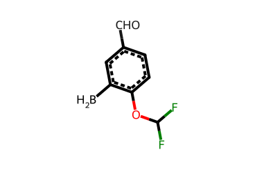 Bc1cc(C=O)ccc1OC(F)F